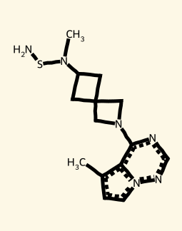 Cc1ccn2ncnc(N3CC4(CC(N(C)SN)C4)C3)c12